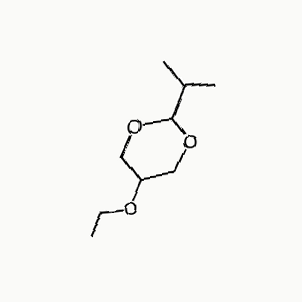 CCOC1COC(C(C)C)OC1